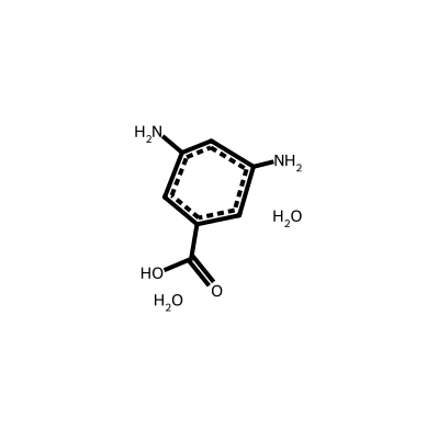 Nc1cc(N)cc(C(=O)O)c1.O.O